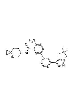 CC1(C)Cc2c(-c3cc(-c4cnc(N)c(C(=O)NC5CCC6(CC6)NC5)n4)ccn3)cnn2C1